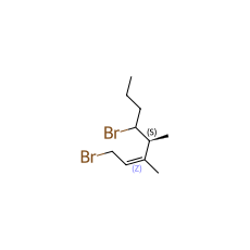 CCCC(Br)[C@@H](C)/C(C)=C\CBr